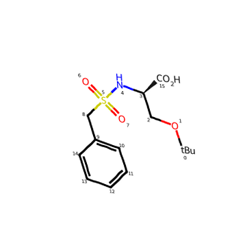 CC(C)(C)OC[C@@H](NS(=O)(=O)Cc1ccccc1)C(=O)O